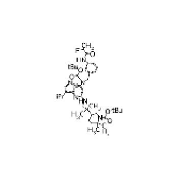 C=C(F)C(=O)Nc1cccc(CN(C(=O)OC(C)(C)C)c2cc(NCC(C)(C)[C@@H]3CCC(C)(C)N(C(=O)OC(C)(C)C)C3)nc3c(C(C)C)cnn23)c1